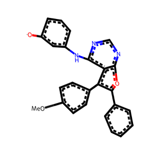 COc1ccc(-c2c(-c3ccccc3)oc3ncnc(Nc4cccc([O])c4)c23)cc1